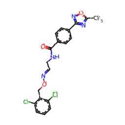 O=C(NCC=NOCc1c(Cl)cccc1Cl)c1ccc(-c2noc(C(F)(F)F)n2)cc1